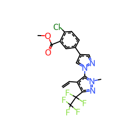 C=Cc1c(C(F)(F)C(F)(F)F)nn(C)c1-n1cc(-c2ccc(Cl)c(C(=O)OC)c2)cn1